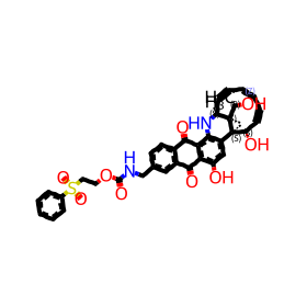 C[C@@H](O)[C@@]12C[C@]13c1cc(O)c4c(c1N[C@H]2C#C/C=C\C#C[C@H]3O)C(=O)c1ccc(CNC(=O)OCCS(=O)(=O)c2ccccc2)cc1C4=O